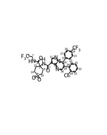 O=C(NC1(C(=O)NCC(F)(F)F)CCS(=O)(=O)CC1)c1cnn2c(-c3ccc(C(F)(F)F)cc3)c(-c3ccccc3Cl)cnc12